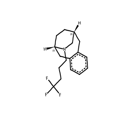 FC(F)(F)CCCN1C[C@@H]2CC[C@H]1Cc1ccccc1C2